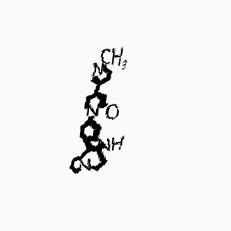 Cc1ccc(-c2ccn(-c3ccc4c5c([nH]c4c3)CCN3CCCC53)c(=O)c2)cn1